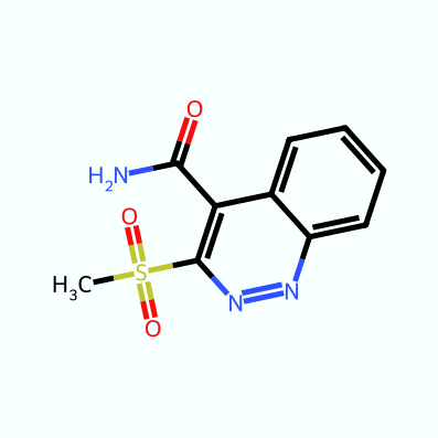 CS(=O)(=O)c1nnc2ccccc2c1C(N)=O